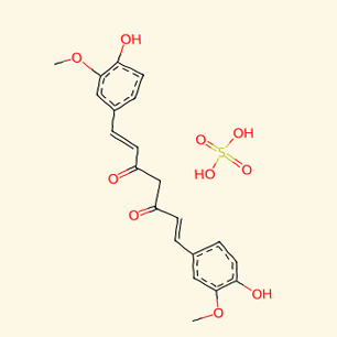 COc1cc(C=CC(=O)CC(=O)C=Cc2ccc(O)c(OC)c2)ccc1O.O=S(=O)(O)O